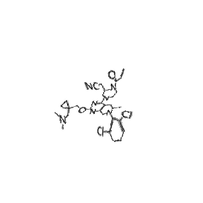 C=CC(=O)N1CCN(c2nc(OCC3(CN(C)C)CC3)nc3c2CC(C)N(c2c(Cl)cccc2Cl)C3)CC1CC#N